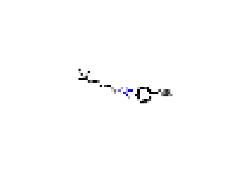 CCCCc1ccc(CNCCCCC[Si](C)(C)C)cc1